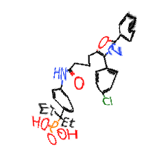 CCC(CC)(c1ccc(NC(=O)CCCc2oc(-c3ccccc3)nc2-c2ccc(Cl)cc2)cc1)P(=O)(O)O